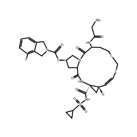 CC(C)(C)CC(=O)N[C@H]1CCCCC/C=C\[C@@H]2C[C@@]2(C(=O)NS(=O)(=O)C2CC2)NC(=O)C2C[C@@H](OC(=O)N3Cc4cccc(F)c4C3)CN2C1=O